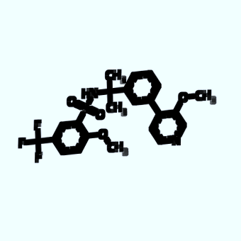 COc1cnccc1-c1cccc(C(C)(C)NS(=O)(=O)c2cc(C(F)(F)F)ccc2OC)c1